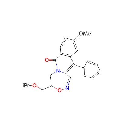 COc1ccc2c(=O)n3c(c(-c4ccccc4)c2c1)C=NOC(COC(C)C)C3